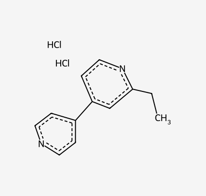 CCc1cc(-c2ccncc2)ccn1.Cl.Cl